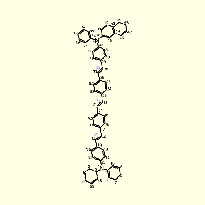 C1=CCC(N(C2=CCCC=C2)c2ccc(/C=C/c3ccc(/C=C/c4ccc(/C=C/c5ccc(N(c6ccccc6)c6ccc7c(c6)C=CCC7)cc5)cc4)cc3)cc2)C=C1